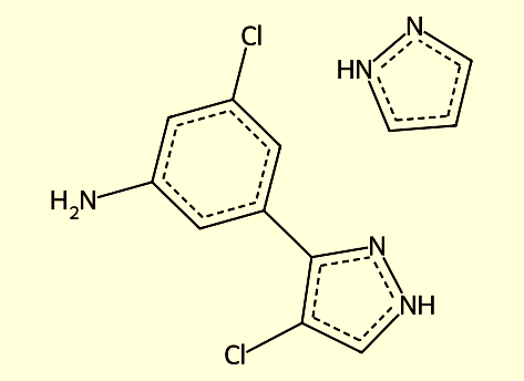 Nc1cc(Cl)cc(-c2n[nH]cc2Cl)c1.c1cn[nH]c1